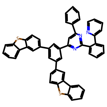 c1ccc(-c2cc(-c3cc(-c4ccc5sc6ccccc6c5c4)cc(-c4ccc5sc6ccccc6c5c4)c3)nc(-c3ccccc3-c3ccccn3)n2)cc1